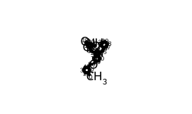 Cc1cccc(COc2ccc3c(c2)c(Cn2oc(=O)[nH]c2=O)cn3Cc2ccccc2)c1